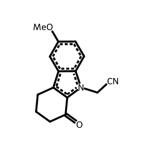 COc1ccc2c(c1)c1c(n2CC#N)C(=O)CCC1